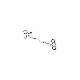 O=C1c2ccccc2C(=O)N1CCCCCCCCCCCCOc1c2ccccc2cc2ccccc12